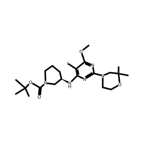 COc1nc(N2CCOC(C)(C)C2)nc(N[C@@H]2CCCN(C(=O)OC(C)(C)C)C2)c1I